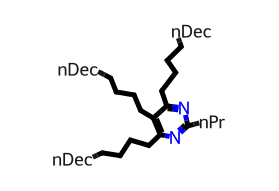 [CH2]CCc1nc(CCCCCCCCCCCCCC)c(CCCCCCCCCCCCCC)c(CCCCCCCCCCCCCC)n1